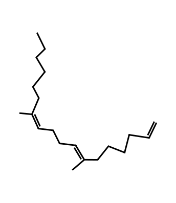 C=CCCCCC(C)=CCCC=C(C)CCCCCC